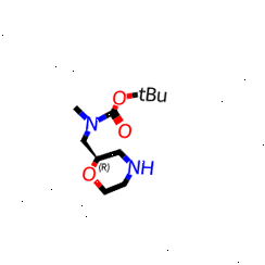 CN(C[C@H]1CNCCO1)C(=O)OC(C)(C)C